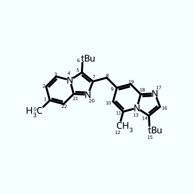 Cc1ccn2c(C(C)(C)C)c(Cc3cc(C)n4c(C(C)(C)C)cnc4c3)nc2c1